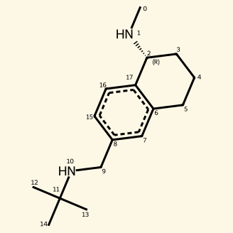 CN[C@@H]1CCCc2cc(CNC(C)(C)C)ccc21